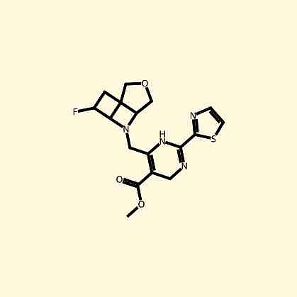 COC(=O)C1=C(CN2C3COCC34CC(F)C24)NC(c2nccs2)=NC1